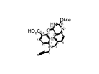 C#CCN(Cc1ccc2nc(OC)[nH]c(=O)c2c1)c1ccc(C(=O)O)cc1